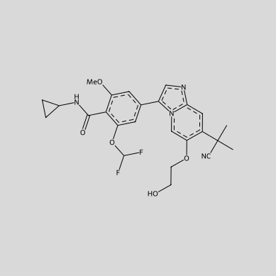 COc1cc(-c2cnc3cc(C(C)(C)C#N)c(OCCO)cn23)cc(OC(F)F)c1C(=O)NC1CC1